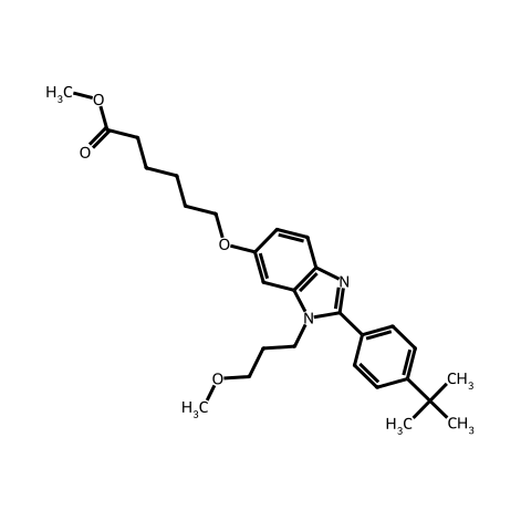 COCCCn1c(-c2ccc(C(C)(C)C)cc2)nc2ccc(OCCCCCC(=O)OC)cc21